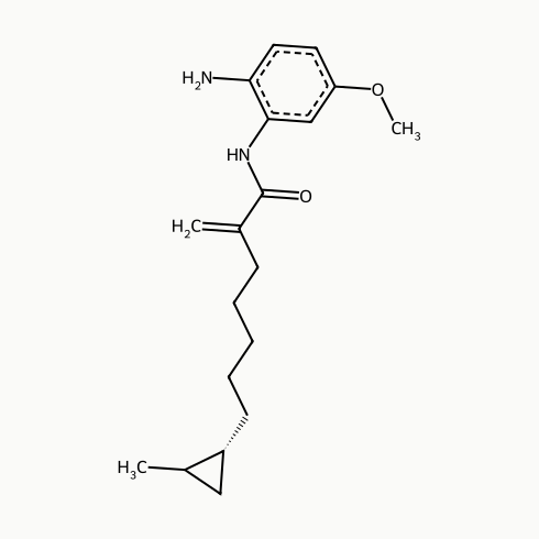 C=C(CCCCC[C@@H]1CC1C)C(=O)Nc1cc(OC)ccc1N